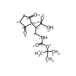 CC(C)(C)OC(=O)NCC(C(=O)O)N1C(=O)CCC1=O